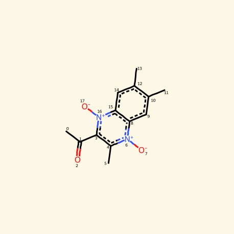 CC(=O)c1c(C)[n+]([O-])c2cc(C)c(C)cc2[n+]1[O-]